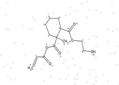 C=CC(=O)OC(=O)C1(C)CCCCC1C(=O)OCCO